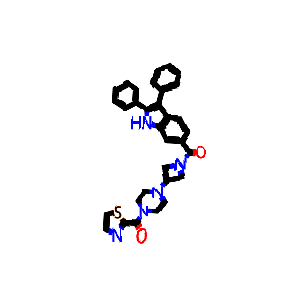 O=C(c1ccc2c(-c3ccccc3)c(-c3ccccc3)[nH]c2c1)N1CC(N2CCN(C(=O)c3nccs3)CC2)C1